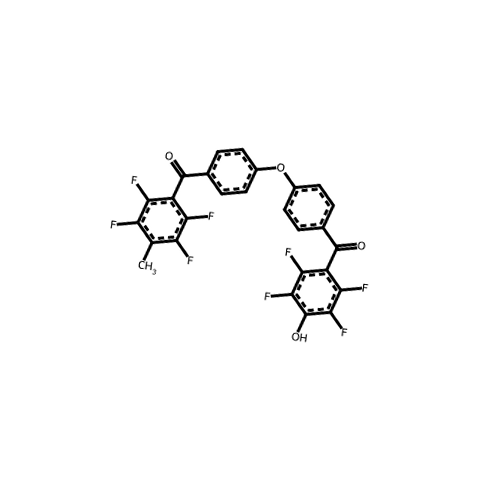 Cc1c(F)c(F)c(C(=O)c2ccc(Oc3ccc(C(=O)c4c(F)c(F)c(O)c(F)c4F)cc3)cc2)c(F)c1F